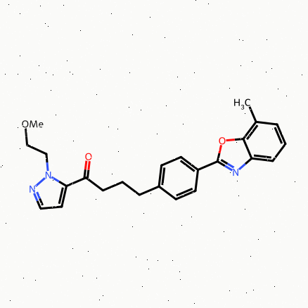 COCCn1nccc1C(=O)CCCc1ccc(-c2nc3cccc(C)c3o2)cc1